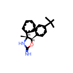 CC(C)(C)c1ccc([C@H]2OC(=N)N[C@]2(C)c2ccccc2)cc1